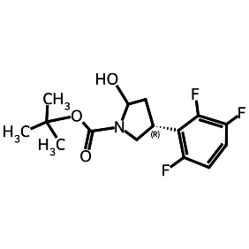 CC(C)(C)OC(=O)N1C[C@@H](c2c(F)ccc(F)c2F)CC1O